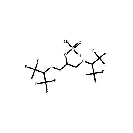 O=P(Cl)(Cl)OC(COC(C(F)(F)F)C(F)(F)F)COC(C(F)(F)F)C(F)(F)F